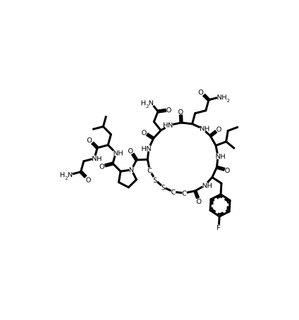 CCC(C)C1NC(=O)C(Cc2ccc(F)cc2)NC(=O)CCSSCC(C(=O)N2CCCC2C(=O)NC(CC(C)C)C(=O)NCC(N)=O)NC(=O)C(CC(N)=O)NC(=O)C(CCC(N)=O)NC1=O